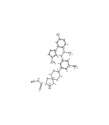 Cc1ccn(-c2cc(Cl)ccc2C(Oc2cc(N3CCC4(CC3)CN[C@H](C(=O)OC(C)C)C4)nc(N)n2)C(F)(F)F)n1